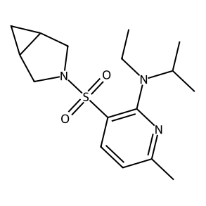 CCN(c1nc(C)ccc1S(=O)(=O)N1CC2CC2C1)C(C)C